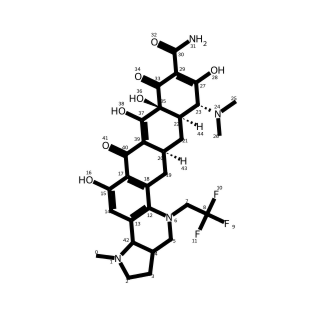 CN1CCC2CN(CC(F)(F)F)c3c(cc(O)c4c3C[C@@H]3C[C@@H]5[C@@H](N(C)C)C(O)=C(C(N)=O)C(=O)[C@@]5(O)C(O)=C3C4=O)C21